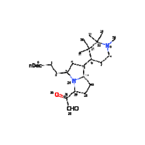 CCCCCCCCCCCCC1CC(C2CCN(C)C(C)(C)C2(C)C)C2CCC(C(=O)C=O)N12